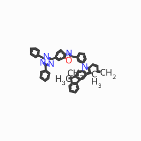 C=C/C=C\c1c(C)c2cc3c(cc2n1-c1cccc(-c2nc4ccc(-c5nc(-c6ccccc6)nc(-c6ccccc6)n5)cc4o2)c1)C(C)(C)c1ccccc1-3